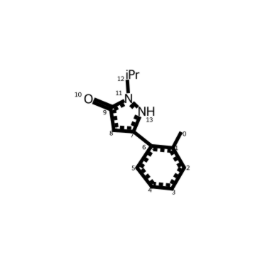 Cc1ccccc1-c1cc(=O)n(C(C)C)[nH]1